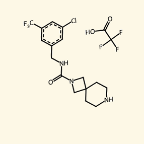 O=C(NCc1cc(Cl)cc(C(F)(F)F)c1)N1CC2(CCNCC2)C1.O=C(O)C(F)(F)F